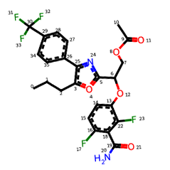 CCCc1oc(C(COC(C)=O)Oc2ccc(F)c(C(N)=O)c2F)nc1-c1ccc(C(F)(F)F)cc1